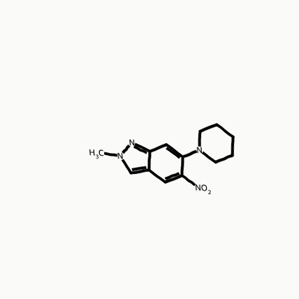 Cn1cc2cc([N+](=O)[O-])c(N3CCCCC3)cc2n1